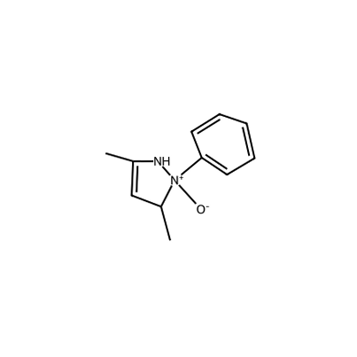 CC1=CC(C)[N+]([O-])(c2ccccc2)N1